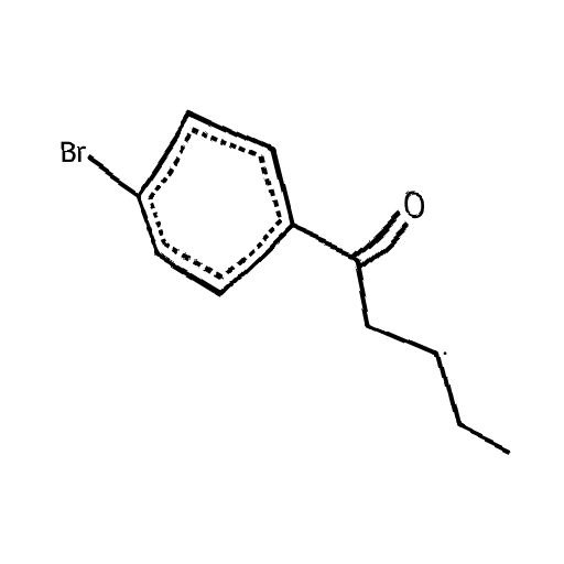 CC[CH]CC(=O)c1ccc(Br)cc1